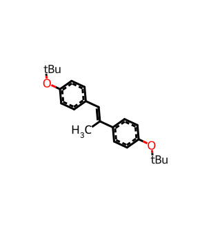 C/C(=C\c1ccc(OC(C)(C)C)cc1)c1ccc(OC(C)(C)C)cc1